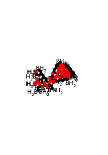 BC(B)CC(CC(B)B)CC(CC(CC(B)B)CC(B)B)CC(CC(CC(CC(B)B)CC(B)B)CC(CC(B)B)CC(B)B)CC(CC(CC(CC(CC(B)B)CC(B)B)CC(CC(B)B)CC(B)B)CC(CC(CC(B)B)CC(B)B)CC(CC(B)B)CC(B)B)CC(CC(CC(CC(B)B)CC(B)B)CC(CC(B)B)CC(B)B)CC(CC(CC(B)B)CC(B)B)CC(CC(B)B)C(B)B